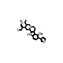 CCC1CN2CCc3c([nH]c4ccc(-c5ccoc5)c(OC)c34)C2CC1/C(C=O)=C\OC